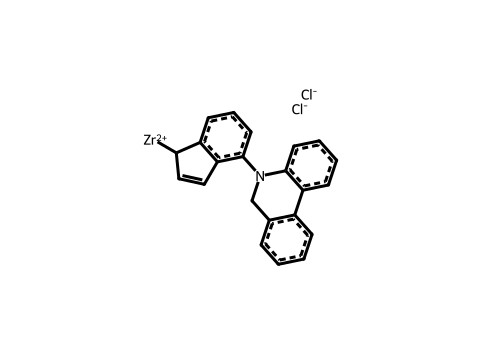 [Cl-].[Cl-].[Zr+2][CH]1C=Cc2c1cccc2N1Cc2ccccc2-c2ccccc21